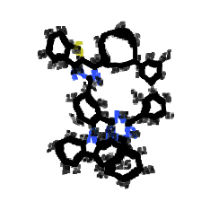 c1ccc(-c2cccc(-c3nc(-c4ccc(-n5c6ccccc6c6ccccc65)c(-c5nc(-c6ccccc6)nc(-c6ccccc6)n5)c4)nc4c3sc3ccccc34)c2)cc1